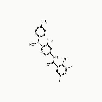 Cc1ccc(C(C#N)c2ccc(NC(=O)c3cc(I)cc(I)c3O)cc2C(F)(F)F)cc1